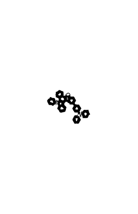 c1ccc(N(c2ccccc2)c2ccc(-c3ccc4oc5c6ccccc6c6c(c7ccccc7n6-c6ccccc6)c5c4c3)cc2)cc1